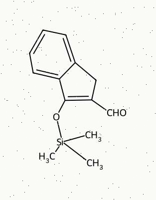 C[Si](C)(C)OC1=C(C=O)Cc2ccccc21